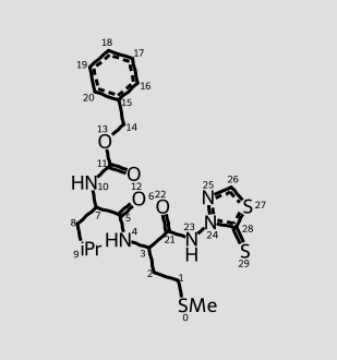 CSCCC(NC(=O)C(CC(C)C)NC(=O)OCc1ccccc1)C(=O)Nn1ncsc1=S